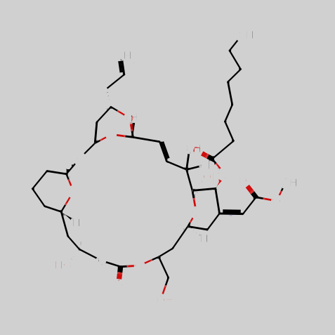 C=CC[C@H]1CC2C[C@H]3CCC[C@@H](C[C@@H](O)CC(=O)OC(CO)C[C@@H]4C/C(=C/C(=O)OC)[C@H](OC(=O)CCCCCCC)[C@@](O)(O4)C(C)(C)/C=C/[C@H](O2)O1)O3